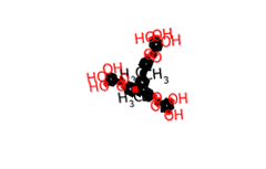 CC(C)(c1ccc(OC(=O)c2cc(O)c(O)c(O)c2)cc1)c1ccc(C(C)(c2ccc(OC(=O)c3cc(O)cc(O)c3)cc2)c2ccc(OC(=O)c3cc(O)c(O)c(O)c3)cc2)cc1